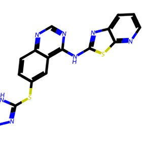 c1cnc2sc(Nc3ncnc4ccc(Sc5nnc[nH]5)cc34)nc2c1